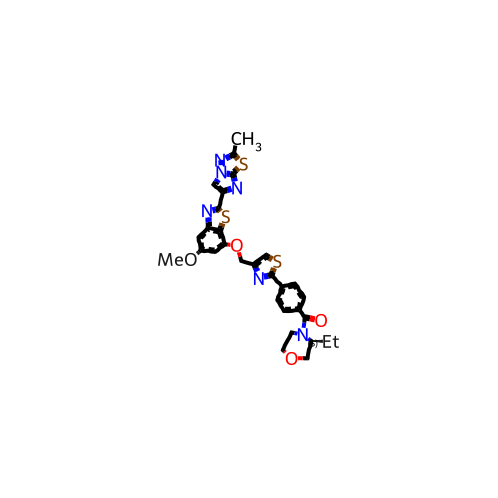 CC[C@H]1COCCN1C(=O)c1ccc(-c2nc(COc3cc(OC)cc4nc(-c5cn6nc(C)sc6n5)sc34)cs2)cc1